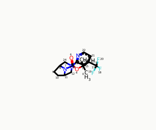 CC(C)(C)OC(=O)N1C2CCC1CN(c1cc(C(F)(F)F)ccn1)C2